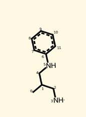 CC(C[NH])CNc1ccccc1